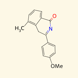 COc1ccc(C2=NC(=O)c3cccc(C)c3C2)cc1